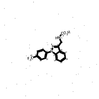 O=C(O)NCc1nn(-c2ccc(C(F)(F)F)cc2)c2ccccc12